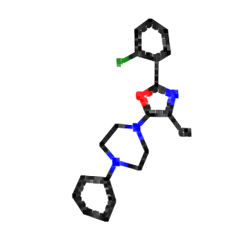 N#Cc1nc(-c2ccccc2F)oc1N1CCN(c2ccccc2)CC1